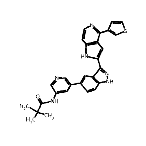 CC(C)(C)C(=O)Nc1cncc(-c2ccc3[nH]nc(-c4cc5c(-c6ccsc6)nccc5[nH]4)c3c2)c1